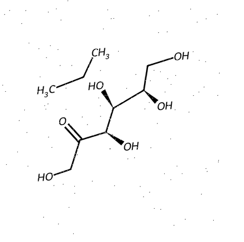 CCC.O=C(CO)[C@H](O)[C@@H](O)[C@H](O)CO